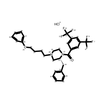 Cl.O=C(c1cc(C(F)(F)F)cc(C(F)(F)F)c1)N1CCN(CCCCOc2ccccc2)C[C@H]1Cc1ccccc1